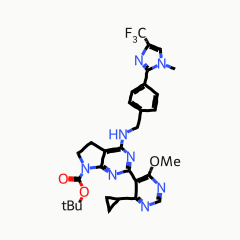 COc1ncnc(C2CC2)c1-c1nc(NCc2ccc(-c3nc(C(F)(F)F)cn3C)cc2)c2c(n1)N(C(=O)OC(C)(C)C)CC2